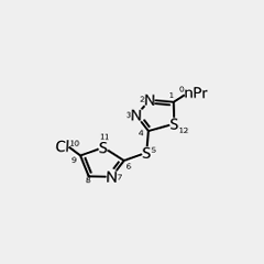 CCCc1nnc(Sc2ncc(Cl)s2)s1